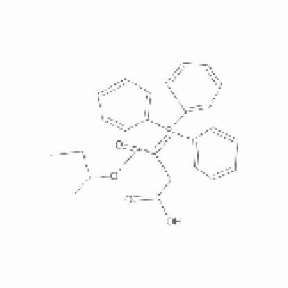 CCC(C)OC(=O)C(CC(=O)O)=P(c1ccccc1)(c1ccccc1)c1ccccc1